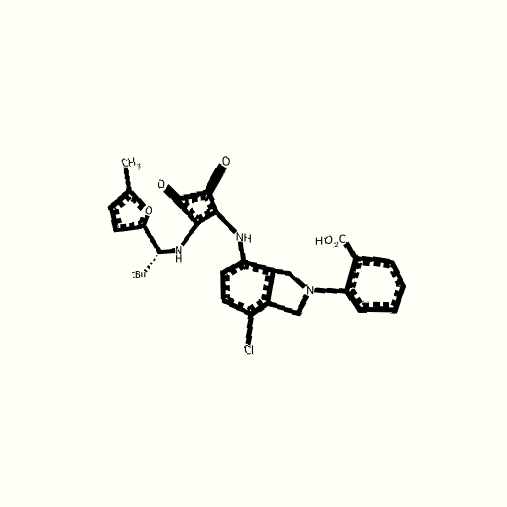 Cc1ccc([C@H](Nc2c(Nc3ccc(Cl)c4c3CN(c3ccccc3C(=O)O)C4)c(=O)c2=O)C(C)(C)C)o1